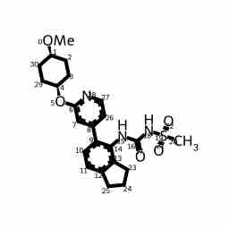 CO[C@H]1CC[C@@H](Oc2cc(-c3ccc4c(c3NC(=O)NS(C)(=O)=O)CCC4)ccn2)CC1